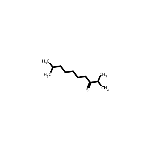 CC(C)CCCCCC(=S)C(C)C